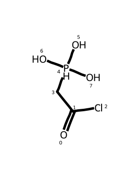 O=C(Cl)C[PH](O)(O)O